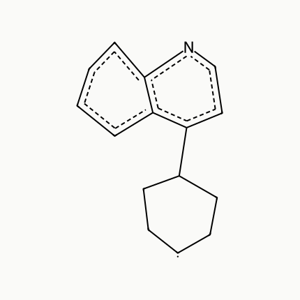 [CH]1CCC(c2ccnc3ccccc23)CC1